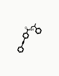 CC(CNC(=O)c1ccc(C#Cc2ccccc2)cc1)c1ccccc1